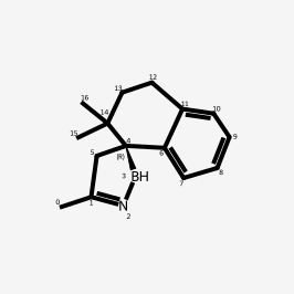 CC1=NB[C@]2(C1)c1ccccc1CCC2(C)C